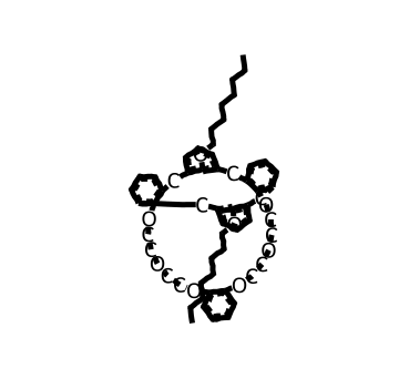 CCCCCCCCOc1c2cccc1Cc1cccc3c1OCCOCCOc1ccccc1OCCOCCOc1c(cccc1Cc1cccc(c1OCCCCCCCC)C3)C2